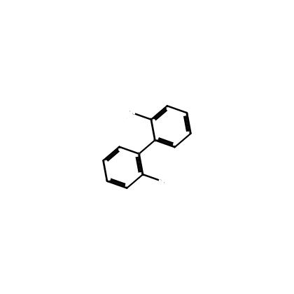 O=[N+]([O-])c1ccc[c]c1-c1ccccc1[N+](=O)[O-]